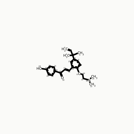 C=CC(C)(C)c1ccc(OCCN(C)C)c(C=CC(=O)c2ccc(O)cc2)c1